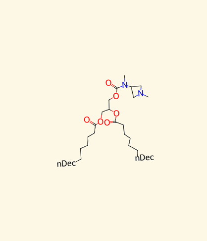 CCCCCCCCCCCCCCCC(=O)OCC(COC(=O)N(C)C1CN(C)C1)OC(=O)CCCCCCCCCCCCCCC